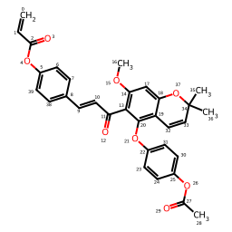 C=CC(=O)Oc1ccc(/C=C/C(=O)c2c(OC)cc3c(c2Oc2ccc(OC(C)=O)cc2)C=CC(C)(C)O3)cc1